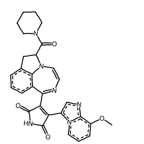 COc1cccn2c(C3=C(C4=NC=CN5c6c(cccc64)CC5C(=O)N4CCCCC4)C(=O)NC3=O)cnc12